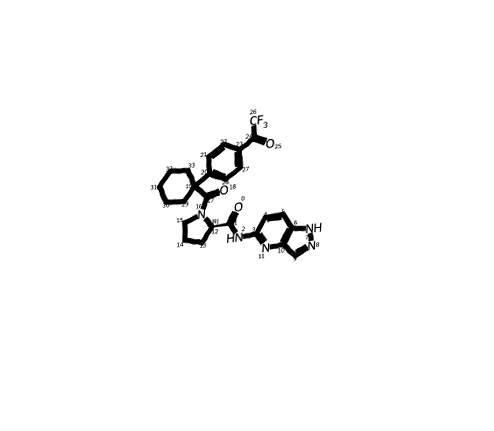 O=C(Nc1ccc2[nH]ncc2n1)[C@H]1CCCN1C(=O)C1(c2ccc(C(=O)C(F)(F)F)cc2)CCCCC1